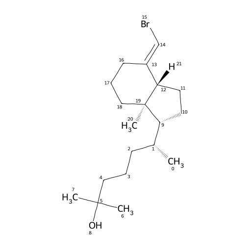 C[C@H](CCCC(C)(C)O)[C@H]1CC[C@H]2/C(=C/Br)CCC[C@]12C